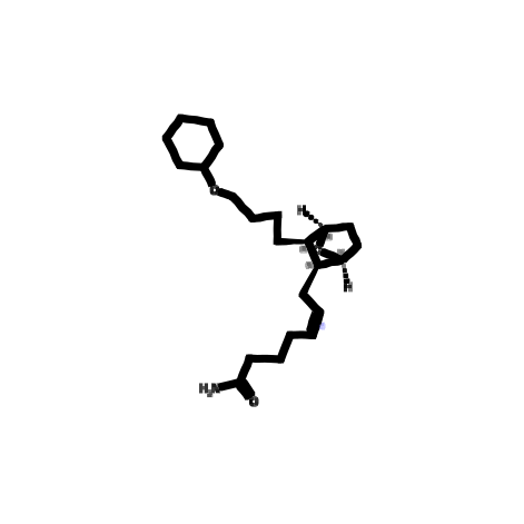 NC(=O)CCC/C=C\C[C@H]1[C@@H](CCCCOC2CCCCC2)[C@H]2CC[C@@H]1O2